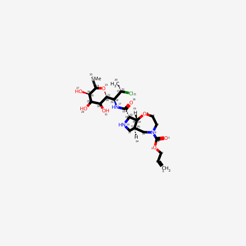 C=CCOC(=O)N1CCO[C@@H]2[C@H](CN[C@@H]2C(=O)N[C@H]([C@H](C)Cl)[C@H]2OC(SC)[C@H](O)C(O)C2O)C1